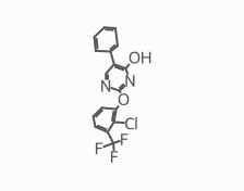 Oc1nc(Oc2cccc(C(F)(F)F)c2Cl)ncc1-c1ccccc1